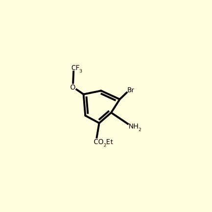 CCOC(=O)c1cc(OC(F)(F)F)cc(Br)c1N